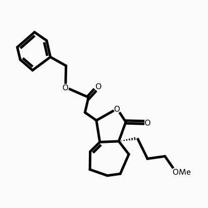 COCCC[C@]12CCCCC=C1C(CC(=O)OCc1ccccc1)OC2=O